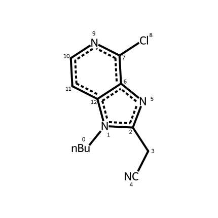 CCCCn1c(CC#N)nc2c(Cl)nccc21